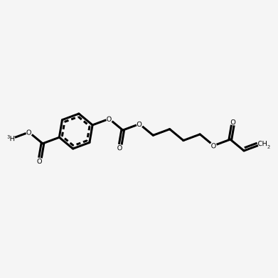 [3H]OC(=O)c1ccc(OC(=O)OCCCCOC(=O)C=C)cc1